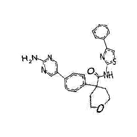 Nc1ncc(-c2ccc(C3(C(=O)Nc4nc(-c5ccccc5)cs4)CCOCC3)cc2)cn1